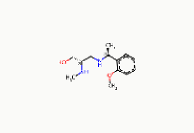 CN[C@H](CO)CN[C@@H](C)c1ccccc1OC